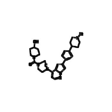 CCN1CCC(c2ccc(-c3cc4c(N5CCN(C(=O)N6CCC(O)CC6)CC5)ccnn4c3)cc2)CC1